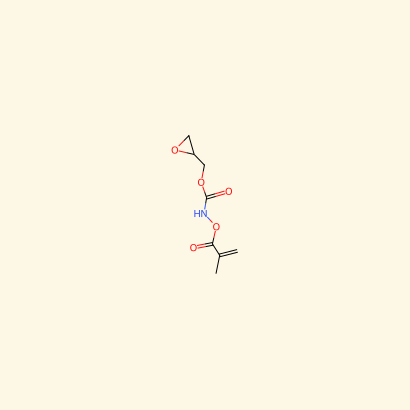 C=C(C)C(=O)ONC(=O)OCC1CO1